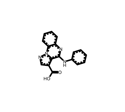 O=C(O)c1cnn2c1c(Nc1ccccc1)nc1ccccc12